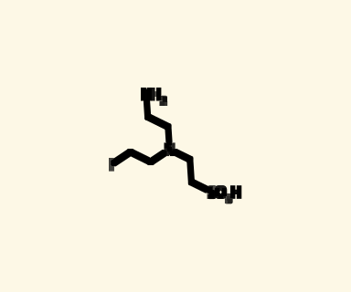 NCCN(CCI)CCS(=O)(=O)O